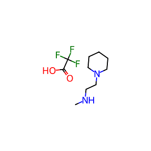 CNCCN1CCCCC1.O=C(O)C(F)(F)F